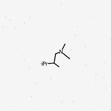 C[C](C)C(C)CN(C)C